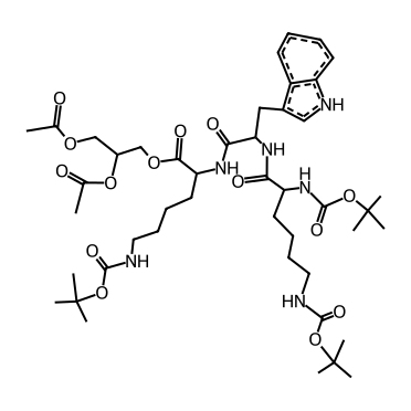 CC(=O)OCC(COC(=O)C(CCCCNC(=O)OC(C)(C)C)NC(=O)C(Cc1c[nH]c2ccccc12)NC(=O)C(CCCCNC(=O)OC(C)(C)C)NC(=O)OC(C)(C)C)OC(C)=O